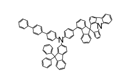 c1ccc(-c2ccc(-c3ccc(N(c4ccc(-c5cccc6c5-c5ccccc5C65c6ccccc6-n6c7ccccc7c7cccc5c76)cc4)c4ccc5c(c4)C(c4ccccc4)(c4ccccc4)c4ccccc4-5)cc3)cc2)cc1